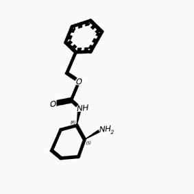 N[C@H]1CCCC[C@H]1NC(=O)OCc1ccccc1